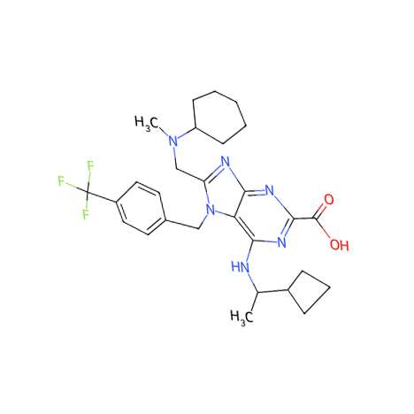 CC(Nc1nc(C(=O)O)nc2nc(CN(C)C3CCCCC3)n(Cc3ccc(C(F)(F)F)cc3)c12)C1CCC1